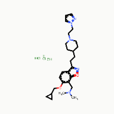 CN(C)Cc1c(OCC2CC2)ccc2c(CCC3CCN(CCn4cccn4)CC3)noc12.Cl.Cl.Cl